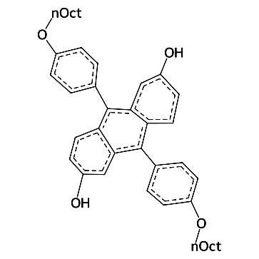 CCCCCCCCOc1ccc(-c2c3ccc(O)cc3c(-c3ccc(OCCCCCCCC)cc3)c3ccc(O)cc23)cc1